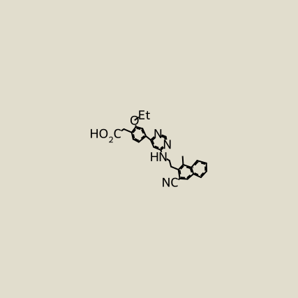 CCOc1cc(-c2cc(NCCc3c(C#N)cc4ccccc4c3C)ncn2)ccc1CC(=O)O